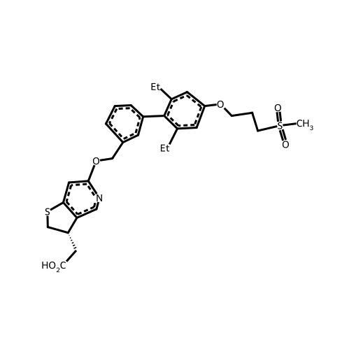 CCc1cc(OCCCS(C)(=O)=O)cc(CC)c1-c1cccc(COc2cc3c(cn2)[C@H](CC(=O)O)CS3)c1